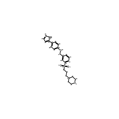 O=S(=O)(CCCN1CCOCC1)c1cccc(COc2ccc(-c3ccn[nH]3)nc2)c1